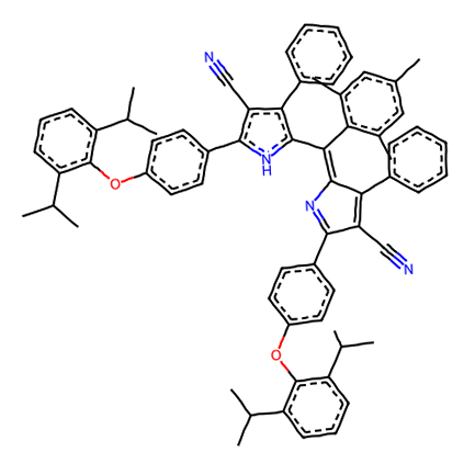 Cc1cc(C)c(/C(=C2/N=C(c3ccc(Oc4c(C(C)C)cccc4C(C)C)cc3)C(C#N)=C2c2ccccc2)c2[nH]c(-c3ccc(Oc4c(C(C)C)cccc4C(C)C)cc3)c(C#N)c2-c2ccccc2)c(C)c1